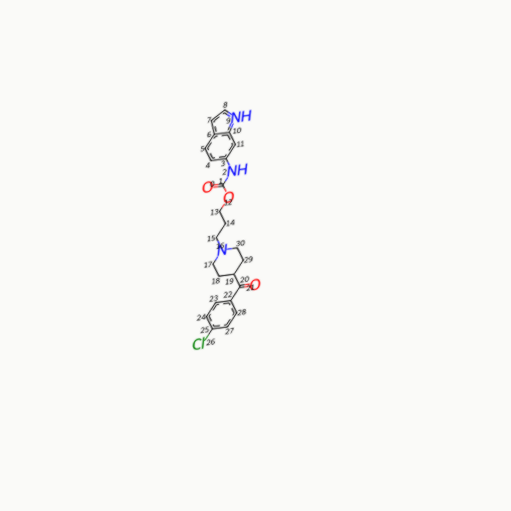 O=C(Nc1ccc2cc[nH]c2c1)OCCCN1CCC(C(=O)c2ccc(Cl)cc2)CC1